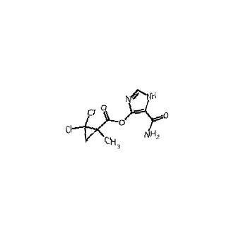 CC1(C(=O)Oc2nc[nH]c2C(N)=O)CC1(Cl)Cl